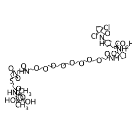 C[C@H]1[C@@H](O)[C@@H](NC(=O)CCSC2CC(=O)N(CCC(=O)NCCOCCOCCOCCOCCOCCOCCOCCOCCC(=O)NCCC3(C(=O)N[C@@H](Cc4ccc(NC(=O)c5c(Cl)cccc5Cl)cc4)C(=O)O)CCCC3)C2=O)[C@H](C)O[C@@H]1CO